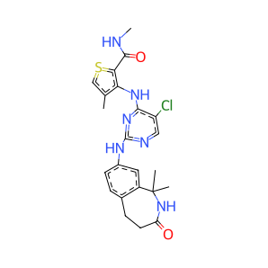 CNC(=O)c1scc(C)c1Nc1nc(Nc2ccc3c(c2)C(C)(C)NC(=O)CC3)ncc1Cl